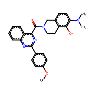 COc1ccc(-c2nc(C(=O)N3CCc4c(ccc(N(C)C)c4O)C3)c3ccccc3n2)cc1